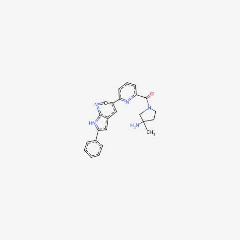 CC1(N)CCN(C(=O)c2cccc(-c3cnc4[nH]c(-c5ccccc5)cc4c3)n2)C1